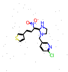 O=[N+]([O-])C(/C=C/c1ccsc1)=C1\NCCN1Cc1ccc(Cl)nc1